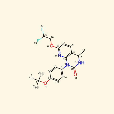 [2H]C([2H])([2H])Oc1ccc(N2C(=O)NC(C)c3ccc(OCC(F)F)nc32)cc1